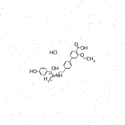 CCOc1cc(-c2ccc(CCN[C@@H](C)[C@@H](O)c3ccc(O)cc3)cc2)ccc1C(=O)O.Cl